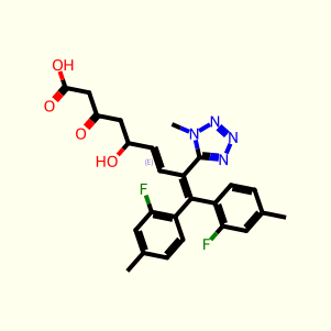 Cc1ccc(C(=C(/C=C/C(O)CC(=O)CC(=O)O)c2nnnn2C)c2ccc(C)cc2F)c(F)c1